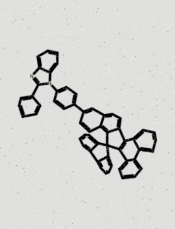 c1ccc(-c2nc3ccccc3n2-c2ccc(-c3ccc4c5c(ccc4c3)-c3c(c4ccccc4c4ccccc34)C53c4ccccc4-c4ccccc43)cc2)cc1